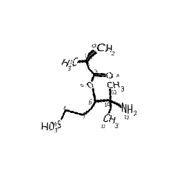 C=C(C)C(=O)OC(CCS(=O)(=O)O)C(C)(C)N